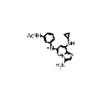 CC(=O)Nc1cccc(Nc2cc(NC3CC3)c3ncc(N)n3n2)c1